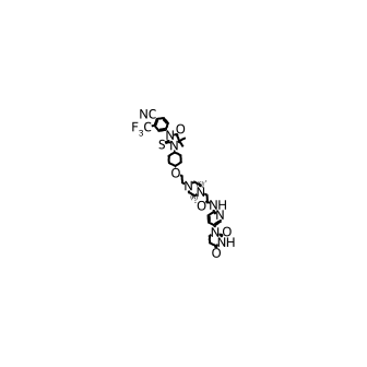 C[C@@H]1CN(CCO[C@H]2CC[C@H](N3C(=S)N(c4ccc(C#N)c(C(F)(F)F)c4)C(=O)C3(C)C)CC2)C[C@H](C)N1CC(=O)Nc1ccc(N2CCC(=O)NC2=O)cn1